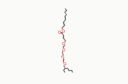 CCCCCCCCCOC(=O)CCCOCCOCCOCCOCC(CC)CCCC